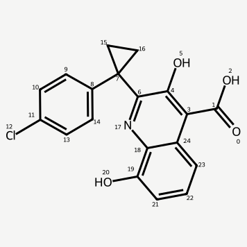 O=C(O)c1c(O)c(C2(c3ccc(Cl)cc3)CC2)nc2c(O)cccc12